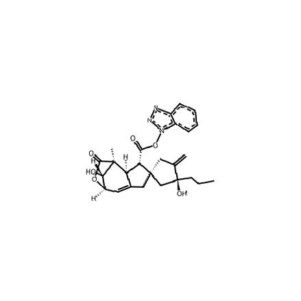 C=C1C[C@@]2(CC3=C[C@H]4OC(=O)[C@@](C)([C@H]3[C@@H]2C(=O)On2nnc3ccccc32)[C@H]4O)C[C@@]1(O)CCC